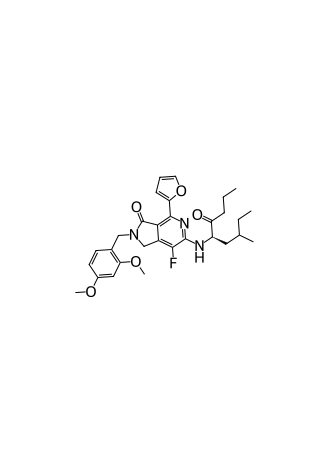 CCCC(=O)[C@@H](CC(C)CC)Nc1nc(-c2ccco2)c2c(c1F)CN(Cc1ccc(OC)cc1OC)C2=O